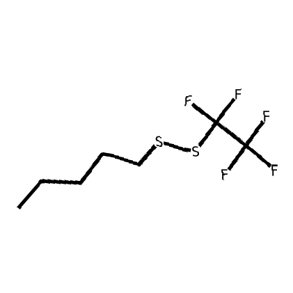 CCCCCSSC(F)(F)C(F)(F)F